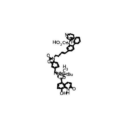 CC(C)(C)[Si](C)(C)O[C@@H](CNCc1ccc2c(c1)oc(=O)n2CCC=Cc1ccc(-c2ccccc2)c(N(C(=O)O)[C@H]2CN3CCC2CC3)c1)c1ccc(O)c2[nH]c(=O)ccc12